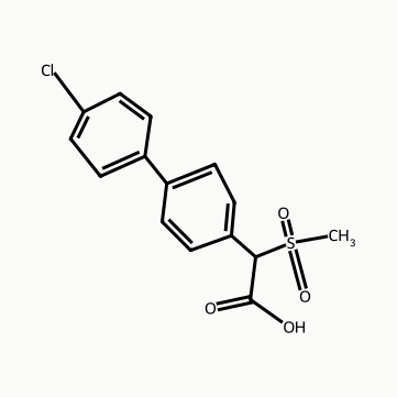 CS(=O)(=O)C(C(=O)O)c1ccc(-c2ccc(Cl)cc2)cc1